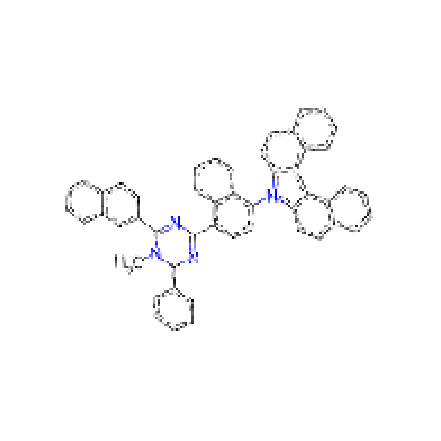 CN1C(c2ccc3ccccc3c2)=NC(c2ccc(-n3c4ccc5ccccc5c4c4c5ccccc5ccc43)c3ccccc23)=NC1c1ccccc1